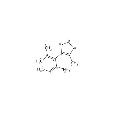 C/C=C(/N)C(=C(C)C)C1=C(C)CCC1